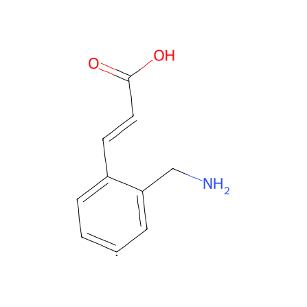 NCc1c[c]ccc1C=CC(=O)O